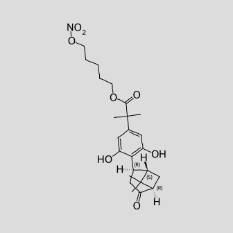 CC(C)(C(=O)OCCCCCO[N+](=O)[O-])c1cc(O)c([C@@H]2CC(=O)[C@@H]3C[C@@H]2C3(C)C)c(O)c1